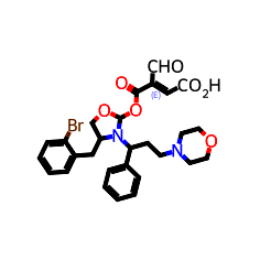 O=C/C(=C\C(=O)O)C(=O)OC1OCC(Cc2ccccc2Br)N1C(CCN1CCOCC1)c1ccccc1